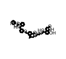 O=C(NC(c1ccccc1)c1cccc(OCc2ccc(C(=O)N(CCCNC[C@@H](O)c3ccc(O)c4[nH]c(=O)ccc34)CC3CC3)cc2)c1)O[C@H]1CN2CCC1CC2